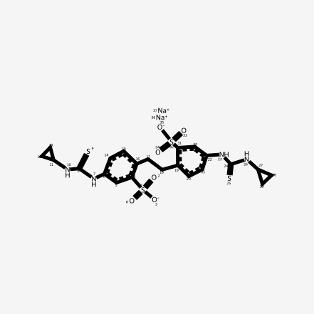 O=S(=O)([O-])c1cc(NC(=S)NC2CC2)ccc1CCc1ccc(NC(=S)NC2CC2)cc1S(=O)(=O)[O-].[Na+].[Na+]